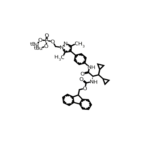 Cc1nn(COP(=O)(OC(C)(C)C)OC(C)(C)C)c(C)c1-c1ccc(NC(=O)[C@@H](NC(=O)OCC2c3ccccc3-c3ccccc32)C(C2CC2)C2CC2)cc1